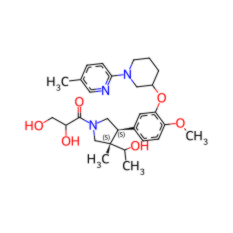 COc1ccc([C@@H]2CN(C(=O)C(O)CO)C[C@@]2(C)C(C)O)cc1OC1CCCN(c2ccc(C)cn2)C1